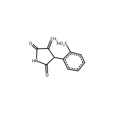 C=C1C(=O)NC(=O)C1c1ccccc1S(=O)(=O)O